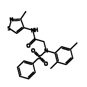 Cc1ccc(C)c(N(CC(=O)Nc2csnc2C)S(=O)(=O)c2ccccc2)c1